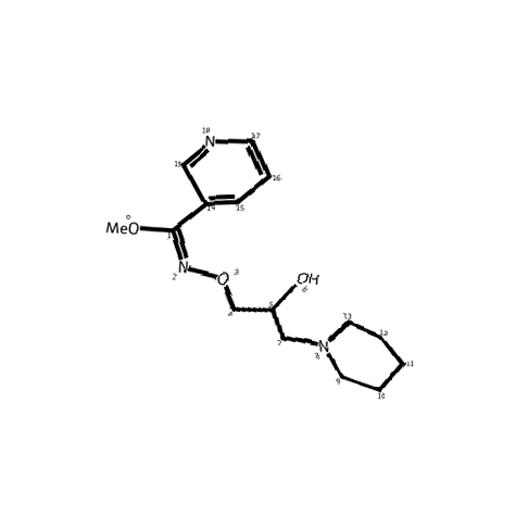 COC(=NOCC(O)CN1CCCCC1)c1cccnc1